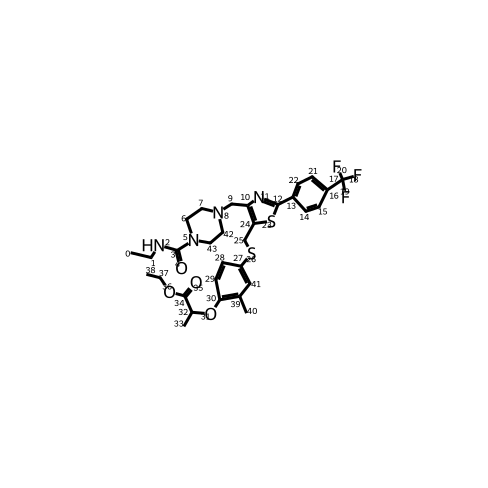 CCNC(=O)N1CCN(Cc2nc(-c3ccc(C(F)(F)F)cc3)sc2CSc2ccc(OC(C)C(=O)OCC)c(C)c2)CC1